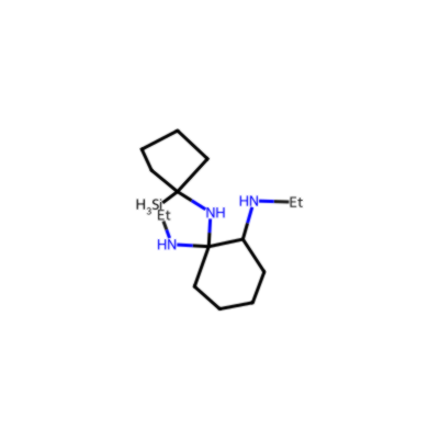 CCNC1CCCCC1(NCC)NC1([SiH3])CCCC1